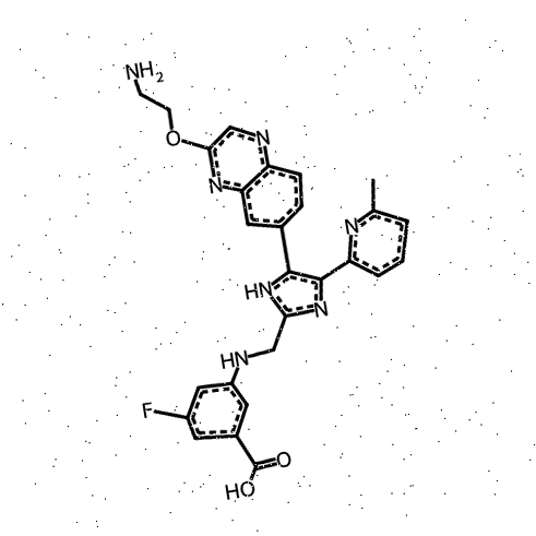 Cc1cccc(-c2nc(CNc3cc(F)cc(C(=O)O)c3)[nH]c2-c2ccc3ncc(OCCN)nc3c2)n1